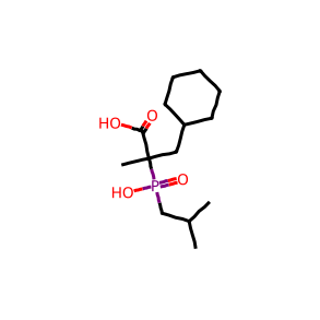 CC(C)CP(=O)(O)C(C)(CC1CCCCC1)C(=O)O